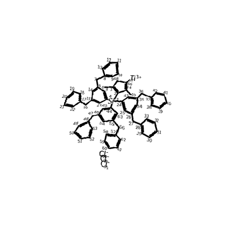 CC1=C([Si](c2cc(Cc3ccccc3)cc(Cc3ccccc3)c2)(c2cc(Cc3ccccc3)cc(Cc3ccccc3)c2)c2cc(Cc3ccccc3)cc(Cc3ccccc3)c2)C(C)=[C]([Ti+3])C1.[Cl-].[Cl-].[Cl-]